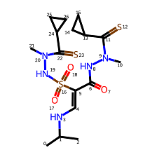 CC(C)NC=C(C(=O)NN(C)C(=S)C1CC1)S(=O)(=O)NN(C)C(=S)C1CC1